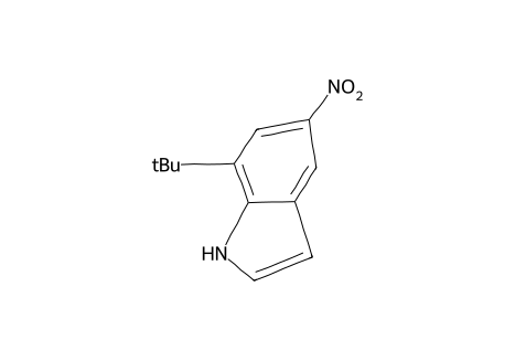 CC(C)(C)c1cc([N+](=O)[O-])cc2cc[nH]c12